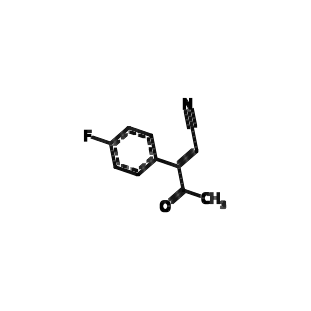 CC(=O)/C(=C/C#N)c1ccc(F)cc1